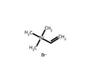 C=C[N+](C)(C)C.[Br-]